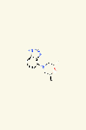 C[C@H]1CN(c2cccc3[nH]cnc23)C[C@H](C)O1